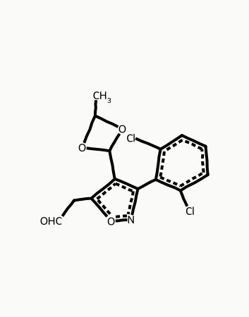 CC1OC(c2c(-c3c(Cl)cccc3Cl)noc2CC=O)O1